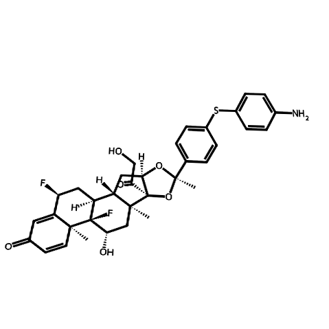 C[C@@]1(c2ccc(Sc3ccc(N)cc3)cc2)O[C@@H]2C[C@H]3[C@@H]4C[C@H](F)C5=CC(=O)C=C[C@]5(C)[C@@]4(F)[C@@H](O)C[C@]3(C)[C@]2(C(=O)CO)O1